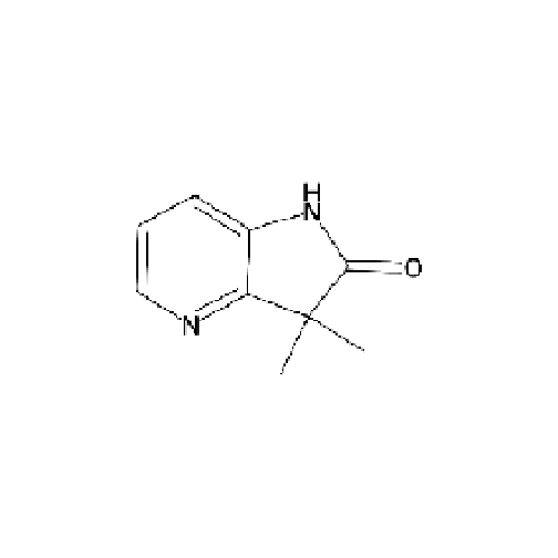 CC1(C)C(=O)Nc2cccnc21